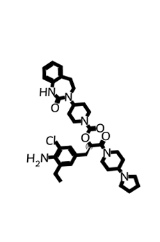 CCc1cc(C[C@@H](OC(=O)N2CCC(N3CCc4ccccc4NC3=O)CC2)C(=O)N2CCC(N3CCCC3)CC2)cc(Cl)c1N